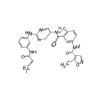 C=CC(=O)Nc1cccc(NC2=NCC(NC(=O)c3cc(NC(=O)c4cnoc4C)ccc3C)C=N2)c1